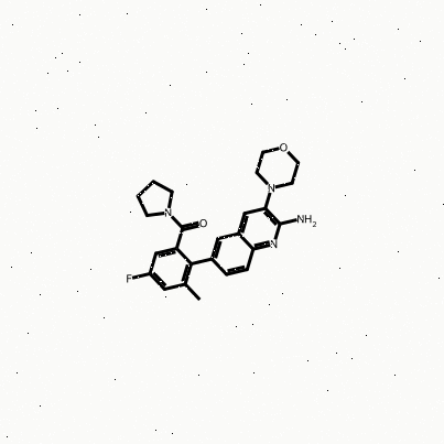 Cc1cc(F)cc(C(=O)N2CCCC2)c1-c1ccc2nc(N)c(N3CCOCC3)cc2c1